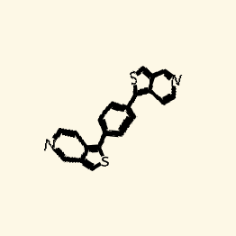 c1cc2c(-c3ccc(-c4scc5cnccc45)cc3)scc2cn1